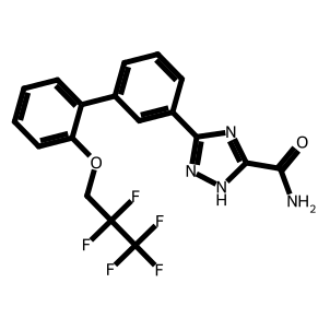 NC(=O)c1nc(-c2cccc(-c3ccccc3OCC(F)(F)C(F)(F)F)c2)n[nH]1